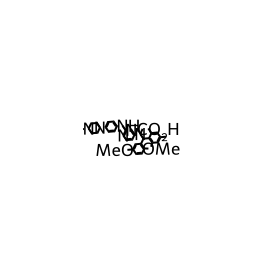 COc1ccc(OC)c(C(c2c(C)cc(C)cc2C)N(C(=O)O)c2ccnc(Nc3ccc(N4CCN(C)CC4)cc3)n2)c1